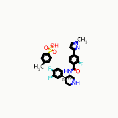 Cc1ccc(S(=O)(=O)O)cc1.Cn1ccc(-c2ccc(C(=O)N[C@@H]3CNCC[C@H]3c3ccc(F)c(F)c3)c(F)c2)n1